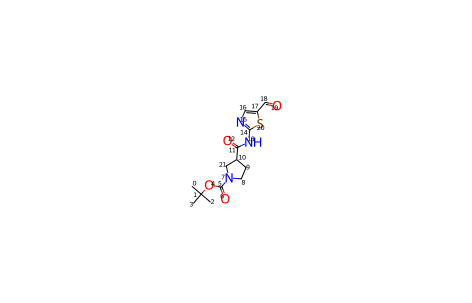 CC(C)(C)OC(=O)N1CCC(C(=O)Nc2ncc(C=O)s2)C1